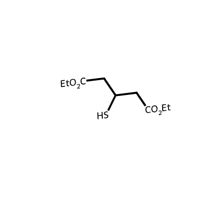 CCOC(=O)CC(S)CC(=O)OCC